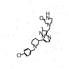 Cc1nn2c(C3CCCN(Cc4ccc(Cl)cc4)C3)ccnc2c1CN1CCNC(=O)C1